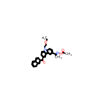 CCOCCn1c2ccc(C(=O)c3ccc4ccccc4c3)cc2c2cc(/C(C)=N/OC(C)=O)ccc21